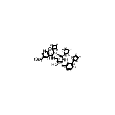 CC(C)(C)Cc1cnc2c(c1)[C@@H](NC[C@H](O)[C@H](Cc1cccc(-c3nccs3)c1)NC(=O)[C@@H]1CCCO1)CC1(CCC1)O2